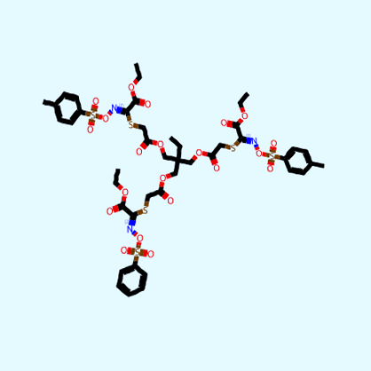 CCOC(=O)/C(=N/OS(=O)(=O)c1ccccc1)SCC(=O)OCC(CC)(COC(=O)CS/C(=N\OS(=O)(=O)c1ccc(C)cc1)C(=O)OCC)COC(=O)CS/C(=N\OS(=O)(=O)c1ccc(C)cc1)C(=O)OCC